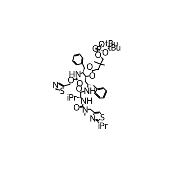 CC(C)c1nc(CN(C)C(=O)N[C@H](C(=O)N[C@@H](Cc2ccccc2)C[C@H](OC(=O)CC(C)(C)COP(=O)(OC(C)(C)C)OC(C)(C)C)[C@H](Cc2ccccc2)NC(=O)OCc2cncs2)C(C)C)cs1